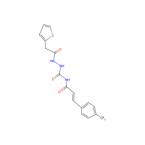 O=C(/C=C/c1ccc(C(F)(F)F)cc1)NC(=S)NNC(=O)Cc1cccs1